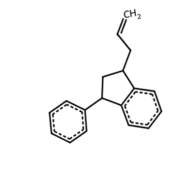 C=CCC1CC(c2ccccc2)c2ccccc21